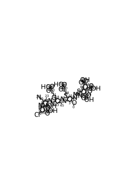 COc1cc(N=Nc2cc(OCCCS(=O)(=O)O)c(N=Nc3c(C)c(C#N)c4nc5cc(Cl)cc(S(=O)(=O)O)c5n4c3O)cc2C)c(SCCCS(=O)(=O)O)cc1N=Nc1nc2c(S(=O)(=O)O)cc3c(S(=O)(=O)O)cc(S(=O)(=O)O)cc3c2s1